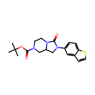 CC(C)(C)OC(=O)N1CCN2C(=O)N(c3ccc4sccc4c3)CC2C1